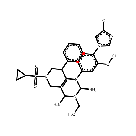 CCN1C(N)C2=C(C(c3ccccc3)CN(S(=O)(=O)C3CC3)C2)N(c2ccc(-n3cnc(Cl)c3)c(OC)c2)C1N